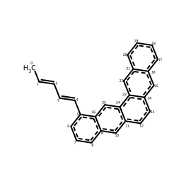 CC=CC=Cc1cccc2cc3ccc4cc5ccccc5cc4c3cc12